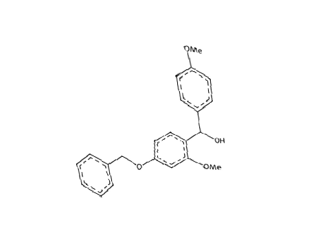 COc1ccc(C(O)c2ccc(OCc3ccccc3)cc2OC)cc1